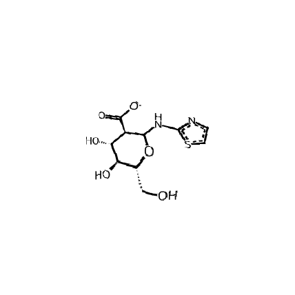 [O]C(=O)[C@H]1C(Nc2nccs2)O[C@H](CO)[C@@H](O)[C@@H]1O